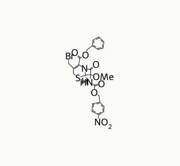 COC1(NC(=O)OCc2ccc([N+](=O)[O-])cc2)C(=O)N2C(C(=O)OCc3ccccc3)=C(CBr)CS[C@@H]21